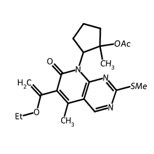 C=C(OCC)c1c(C)c2cnc(SC)nc2n(C2CCCC2(C)OC(C)=O)c1=O